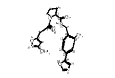 Cc1cc(CC(=O)N2CCCC2C(=O)NCc2ccc(-c3cnco3)cc2C)on1